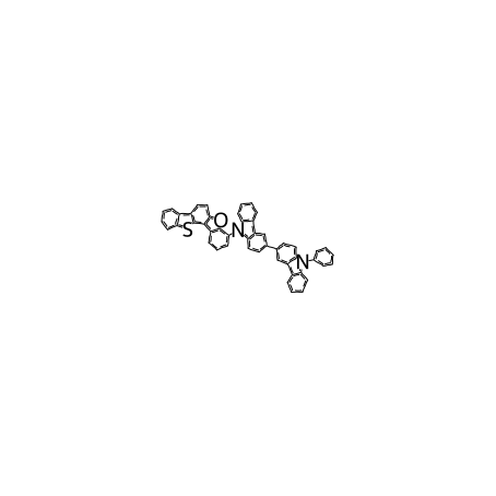 c1ccc(-n2c3ccccc3c3cc(-c4ccc5c(c4)c4ccccc4n5-c4cccc5c4oc4ccc6c7ccccc7sc6c45)ccc32)cc1